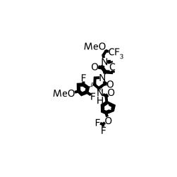 COc1cc(F)c([C@@H]2CN(c3cccn(CC(OC)C(F)(F)F)c3=O)C(=O)[C@H]2NC(=O)c2ccc(OC(F)F)cc2)c(F)c1